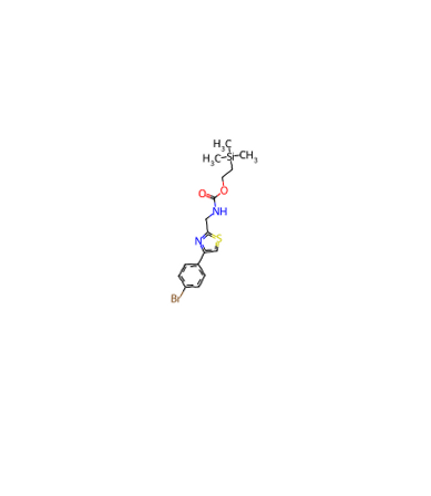 C[Si](C)(C)CCOC(=O)NCc1nc(-c2ccc(Br)cc2)cs1